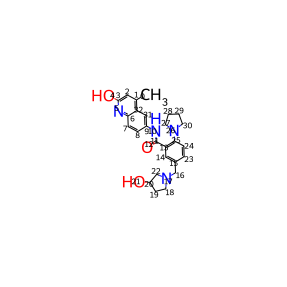 Cc1cc(O)nc2ccc(NC(=O)c3cc(CN4CCC(O)C4)ccc3N3CCCC3)cc12